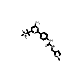 Cn1ccc(CNC(=O)Nc2ccc(-c3nc(N)cc(C(C)(C)S(C)(=O)=O)n3)cc2)n1